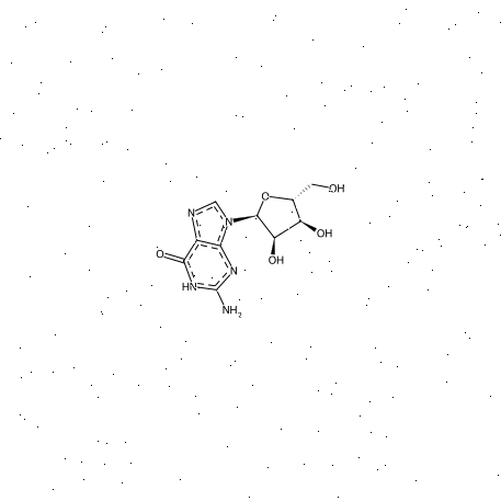 Nc1nc2c(ncn2[C@H]2O[C@H](CO)[C@@H](O)[C@H]2O)c(=O)[nH]1